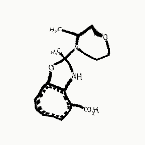 CC1COCCN1[C@]1(C)Nc2c(cccc2C(=O)O)O1